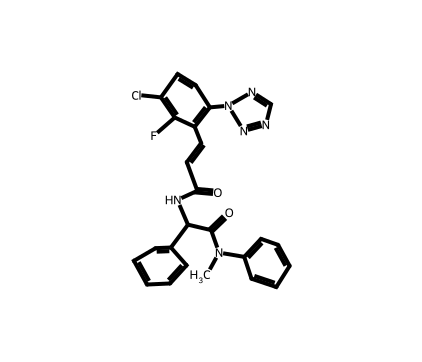 CN(C(=O)C(NC(=O)C=Cc1c(-n2ncnn2)ccc(Cl)c1F)c1ccccc1)c1ccccc1